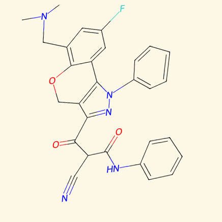 CN(C)Cc1cc(F)cc2c1OCc1c(C(=O)C(C#N)C(=O)Nc3ccccc3)nn(-c3ccccc3)c1-2